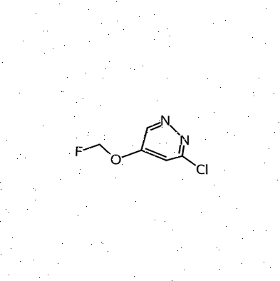 FCOc1cnnc(Cl)c1